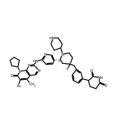 CC(=O)c1c(C)c2cnc(Nc3ccc([C@H]4CC(F)(Cc5cccc(C6CCC(=O)NC6=O)c5)CCN4C4CCNCC4)cn3)nc2n(C2CCCC2)c1=O